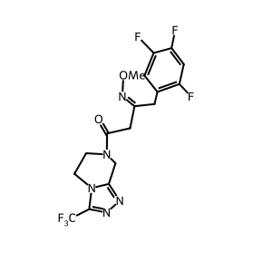 CON=C(CC(=O)N1CCn2c(nnc2C(F)(F)F)C1)Cc1cc(F)c(F)cc1F